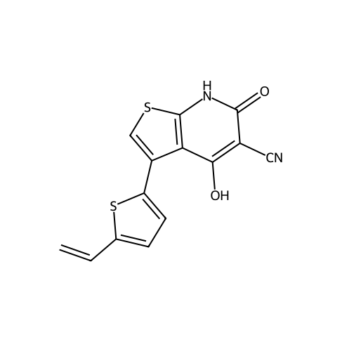 C=Cc1ccc(-c2csc3[nH]c(=O)c(C#N)c(O)c23)s1